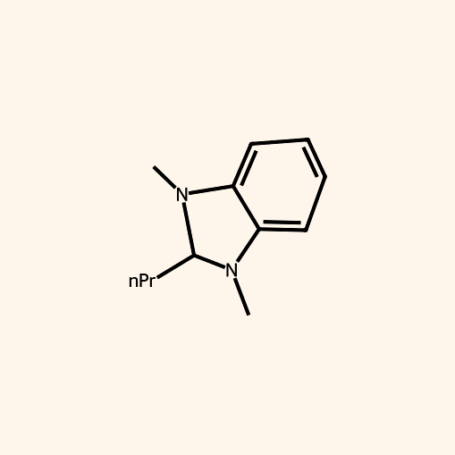 CCCC1N(C)c2ccccc2N1C